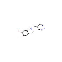 COc1cc2c(cc1O)CCN(Cc1ccncc1)C2